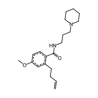 C=CCCc1cc(OC)ccc1C(=O)NCCCN1CCCCC1